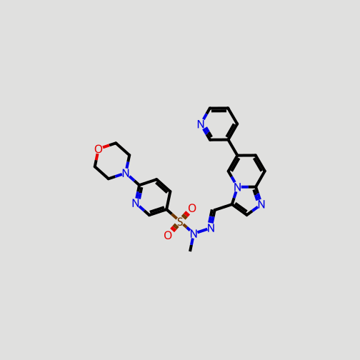 CN(N=Cc1cnc2ccc(-c3cccnc3)cn12)S(=O)(=O)c1ccc(N2CCOCC2)nc1